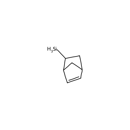 [SiH3]C1CC2C=CC1C2